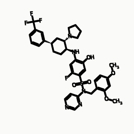 COc1ccc(CN(c2ccncn2)S(=O)(=O)c2cc(O)c(N[C@H]3CC[C@H](c4cccc(C(F)(F)F)c4)C[C@@H]3N3CCCC3)cc2F)c(OC)c1